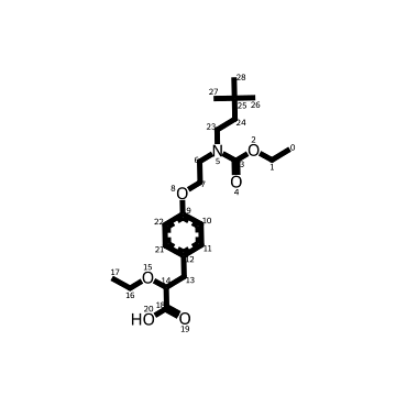 CCOC(=O)N(CCOc1ccc(CC(OCC)C(=O)O)cc1)CCC(C)(C)C